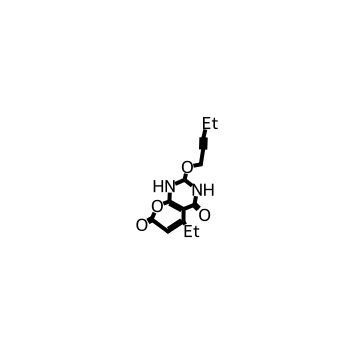 CCC#CCOC1NC(=O)c2c(CC)cc(=O)oc2N1